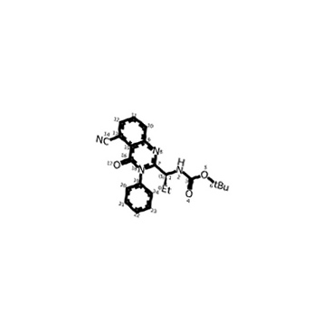 CC[C@H](NC(=O)OC(C)(C)C)c1nc2cccc(C#N)c2c(=O)n1-c1ccccc1